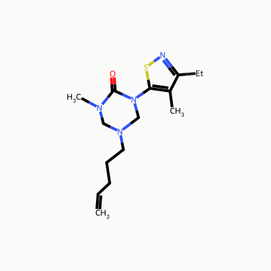 C=CCCCN1CN(C)C(=O)N(c2snc(CC)c2C)C1